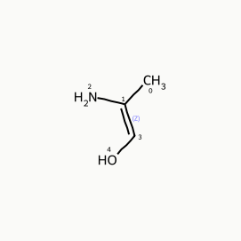 C/C(N)=C/O